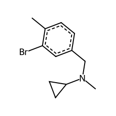 Cc1ccc(CN(C)C2CC2)cc1Br